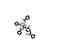 O=C(OC[C@H]1O[C@@H](n2ccc(C=C(O)c3ccccc3)nc2=O)[C@H](OC(=O)c2ccccc2)[C@@H]1OC(=O)c1ccccc1)c1ccccc1